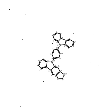 c1ccc2c(c1)c1ccccc1n2-c1ccc(-n2c3ccccc3c3cc4ccsc4cc32)cc1